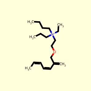 C=C(/C=C\C=C/C)COCC[N+](CC)(CCC)CCCC